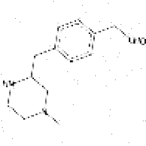 CN1CCNC(Cc2ccc(CC=O)cc2)C1